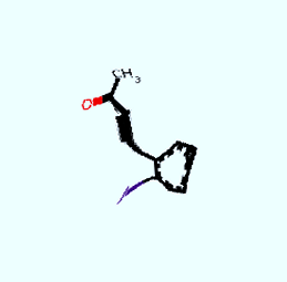 CC(=O)/C=C/c1ccccc1I